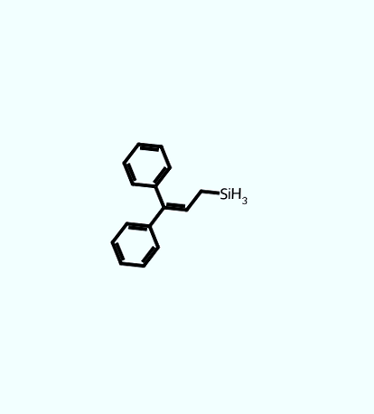 [SiH3]CC=C(c1ccccc1)c1ccccc1